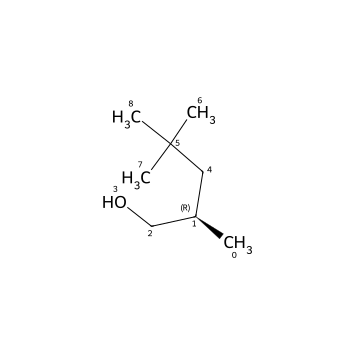 C[C@@H](CO)CC(C)(C)C